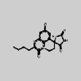 CCCCc1nc2cc(Cl)cc3c2n(c1=O)CCC31NC(=O)NC1=O